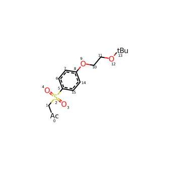 CC(=O)CS(=O)(=O)c1ccc(OCCOC(C)(C)C)cc1